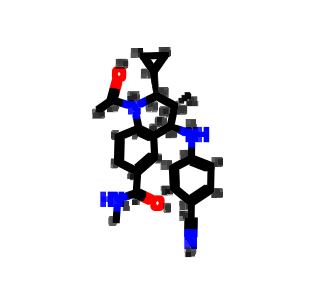 CNC(=O)c1ccc2c(c1)[C@H](Nc1ccc(C#N)cc1)[C@@H](C)[C@H](C1CC1)N2C(C)=O